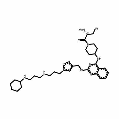 CN[C@H](CC(C)C)C(=O)N1CCC(Nc2nc(NCc3cn(CCCNCCCNC4CCCCC4)nn3)nc3ccccc23)CC1